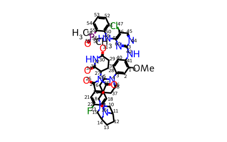 COc1cc(N2CCC(CN3CC4CCC(C3)N4c3cc4c(cc3F)C(=O)N(C3CCC(=O)NC3=O)C4=O)CC2)ccc1Nc1ncc(Cl)c(Nc2ccccc2P(C)(C)=O)n1